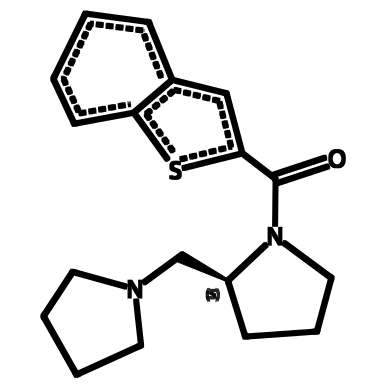 O=C(c1cc2ccccc2s1)N1CCC[C@H]1CN1CCCC1